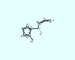 C[C@@H](N=C=S)c1ncnn1C